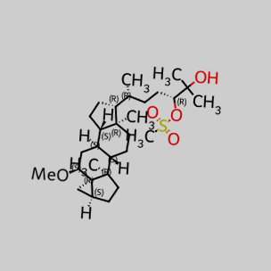 CO[C@H]1C[C@H]2[C@@H]3CC[C@H]([C@H](C)CC[C@@H](OS(C)(=O)=O)C(C)(C)O)[C@@]3(C)CC[C@@H]2[C@@]2(C)CC[C@H]3C[C@]312